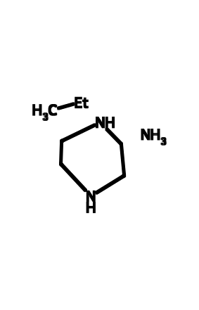 C1CNCCN1.CCC.N